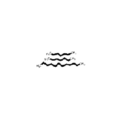 CCCCCCC.CCCCCCC.CCCCCCCCCCCC